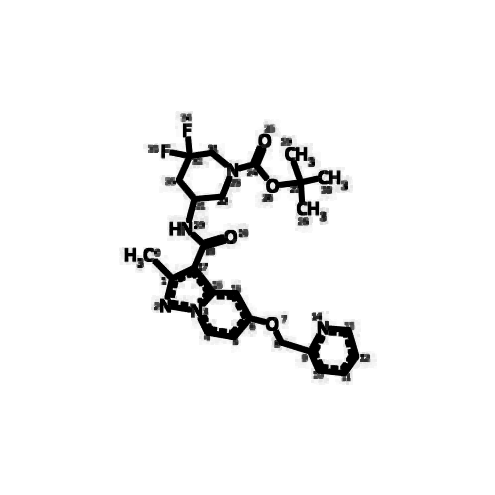 Cc1nn2ccc(OCc3ccccn3)cc2c1C(=O)NC1CN(C(=O)OC(C)(C)C)CC(F)(F)C1